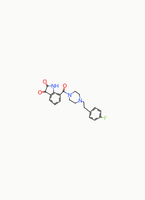 O=C1Nc2c(cccc2C(=O)N2CCN(CCc3ccc(F)cc3)CC2)C1=O